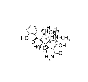 C=C1c2cccc(O)c2C(=O)C2=C(O)C3(O)C(=O)C(C(N)=O)=C(O)[C@@H](N(C)C)[C@@H]3[C@@H](O)[C@H]12